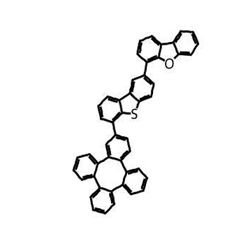 c1ccc2c(c1)-c1ccccc1-c1ccc(-c3cccc4c3sc3ccc(-c5cccc6c5oc5ccccc56)cc34)cc1-c1ccccc1-2